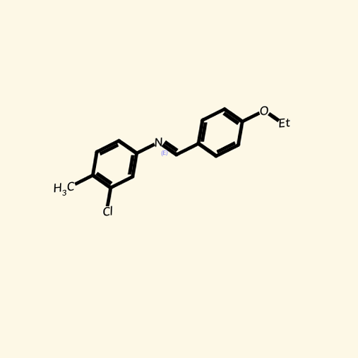 CCOc1ccc(/C=N/c2ccc(C)c(Cl)c2)cc1